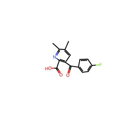 Cc1cc(C(=O)c2ccc(F)cc2)c(C(=O)O)nc1C